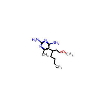 CCCCC(CCOC)c1c(C)nc(N)nc1N